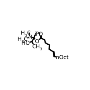 CCCCCCCCC=CCCCCC(=O)OC(C(C)C)(C(C)O)N(C)C